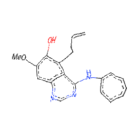 C=CCc1c(O)c(OC)cc2ncnc(Nc3ccccc3)c12